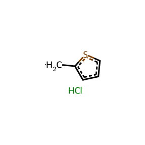 Cl.[CH2]c1cccs1